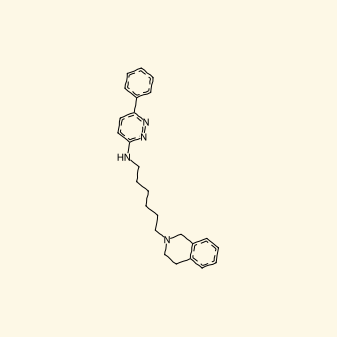 c1ccc(-c2ccc(NCCCCCCN3CCc4ccccc4C3)nn2)cc1